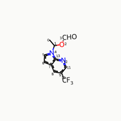 CC(OC=O)n1ccc2cc(C(F)(F)F)cnc21